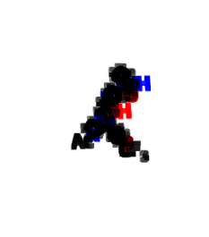 CC(=O)N1CCc2c(c(-c3ccc(OC(F)(F)F)cc3)nn2CC(O)CN2CCC(n3c(=O)[nH]c4ccccc43)CC2)C1